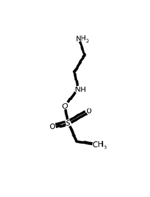 CCS(=O)(=O)ONCCN